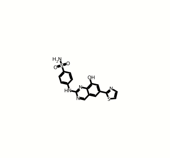 NS(=O)(=O)c1ccc(Nc2ncc3cc(-c4nccs4)cc(O)c3n2)cc1